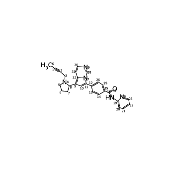 CC#CCN1CCCC1c1cc(-c2ccc(C(=O)Nc3ccccn3)cc2)n2cnccc12